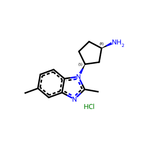 Cc1ccc2c(c1)nc(C)n2[C@H]1CC[C@@H](N)C1.Cl